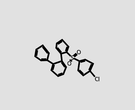 O=S(=O)(c1ccc(Cl)cc1)c1ccccc1-c1ccccc1-c1ccccc1